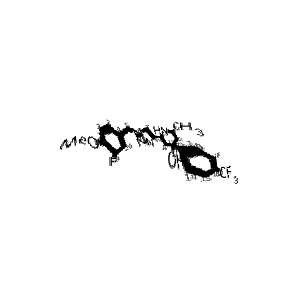 COc1ccc(Cn2cc([C@@H]3CC(O)(c4ccc(C(F)(F)F)cc4)C[C@H](C)N3)nn2)cc1F